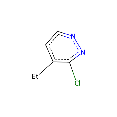 CCc1ccnnc1Cl